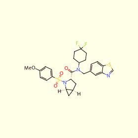 COc1ccc(S(=O)(=O)N2[C@@H]3C[C@@H]3C[C@H]2C(=O)N(Cc2ccc3scnc3c2)C2CCC(F)(F)CC2)cc1